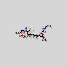 CCCNC(=O)C[C@@H]1CC2(CC(/C=C/C(C)=C/CC3OC(C)C(NC(=O)/C=C\C(C)OC(C)=O)CC3C)O1)OC2C